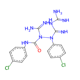 N=C(N)NC(=N)N(c1ccc(Cl)cc1)N(C(=N)N)C(=O)Nc1ccc(Cl)cc1